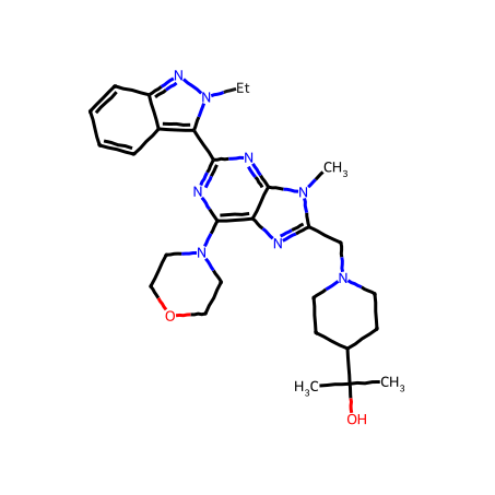 CCn1nc2ccccc2c1-c1nc(N2CCOCC2)c2nc(CN3CCC(C(C)(C)O)CC3)n(C)c2n1